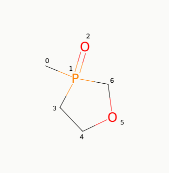 CP1(=O)CCOC1